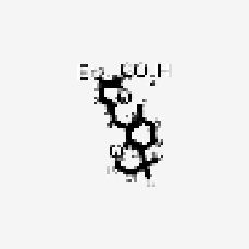 CCc1cc(Cc2c(C)ccc3c2OCCC3(C)C)oc1C(=O)O